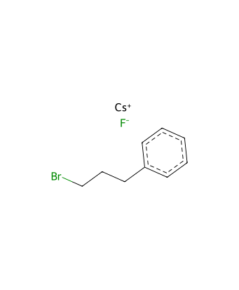 BrCCCc1ccccc1.[Cs+].[F-]